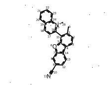 Cc1ccc2c(oc3cc(C#N)ccc32)c1-c1ccc2ccccc2[n+]1C